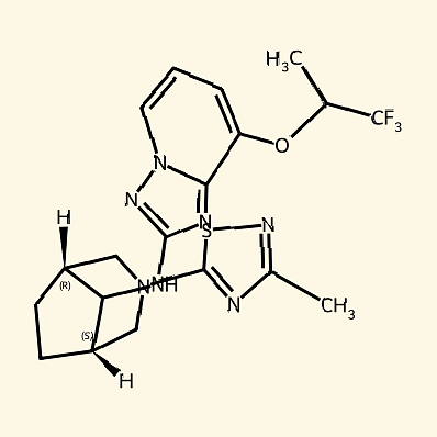 Cc1nsc(N2C[C@H]3CC[C@@H](C2)C3Nc2nc3c(OC(C)C(F)(F)F)cccn3n2)n1